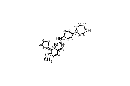 COc1ccc2cnc(Nc3ccc(N4CCCNCC4)cc3)nc2c1C1CCCC1